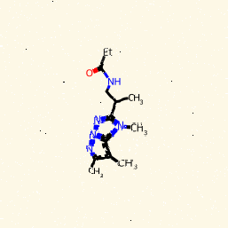 CCC(=O)NCC(C)c1nn2nc(C)c(C)c2n1C